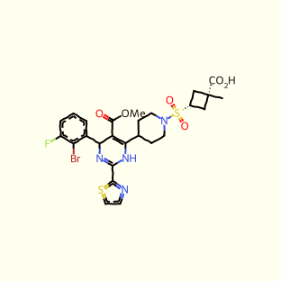 COC(=O)C1=C(C2CCN(S(=O)(=O)[C@H]3C[C@@](C)(C(=O)O)C3)CC2)NC(c2nccs2)=NC1c1cccc(F)c1Br